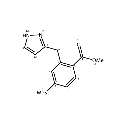 COC(=O)c1ccc(SC)cc1Cc1cc[nH]n1